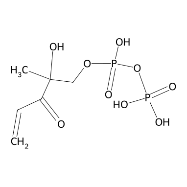 C=CC(=O)C(C)(O)COP(=O)(O)OP(=O)(O)O